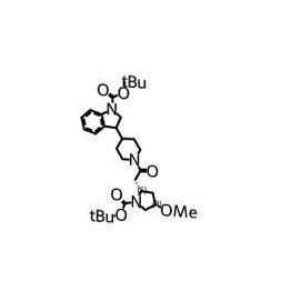 CO[C@@H]1C[C@@H](CC(=O)N2CCC(C3CN(C(=O)OC(C)(C)C)c4ccccc43)CC2)N(C(=O)OC(C)(C)C)C1